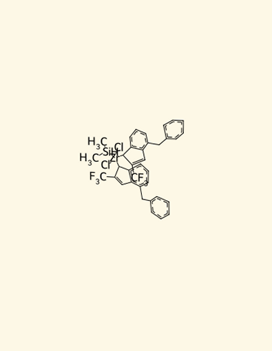 C[SiH](C)[Zr]([Cl])([Cl])([CH]1C(C(F)(F)F)=Cc2c(Cc3ccccc3)cccc21)[CH]1C(C(F)(F)F)=Cc2c(Cc3ccccc3)cccc21